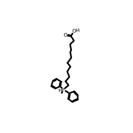 C[PH](CCCCCCCCCCCC(=O)O)(c1ccccc1)c1ccccc1